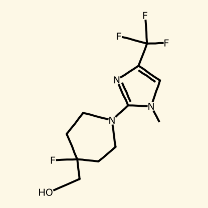 Cn1cc(C(F)(F)F)nc1N1CCC(F)(CO)CC1